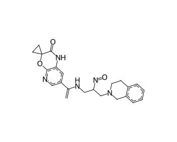 C=C(NCC(CN1CCc2ccccc2C1)N=O)c1cnc2c(c1)NC(=O)C1(CC1)O2